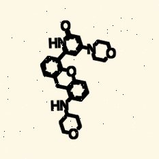 O=c1cc(N2CCOCC2)cc(-c2cccc3c2Oc2cccc(NC4CCOCC4)c2C3)[nH]1